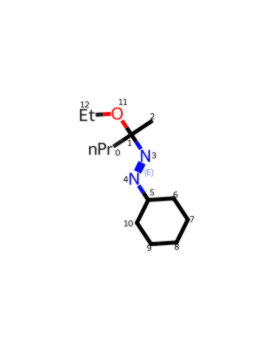 CCCC(C)(/N=N/C1CCCCC1)OCC